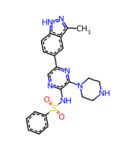 Cc1n[nH]c2ccc(-c3cnc(NS(=O)(=O)c4ccccc4)c(N4CCNCC4)n3)cc12